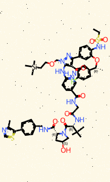 CCS(=O)(=O)Nc1ccc(-c2nn(COCC[Si](C)(C)C)c(Nc3ccc(C(=O)NCC(=O)N[C@@H](C(=O)N4C[C@@H](O)C[C@@H]4C(=O)NCc4ccc(-c5scnc5C)cc4)C(C)(C)C)cn3)c2C(N)=O)cc1O[C@H](C)c1ccc(F)cc1